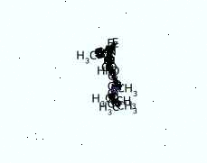 Cc1ccc(-c2cc(C(F)(F)F)nn2-c2ccc(S(=O)(=O)NC(=O)OCCCN(C)/[N+]([O-])=N/OC(C)OC(=O)C(C)(C)C)cc2)cc1